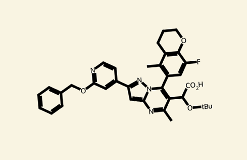 Cc1nc2cc(-c3ccnc(OCc4ccccc4)c3)nn2c(-c2cc(F)c3c(c2C)CCCO3)c1C(OC(C)(C)C)C(=O)O